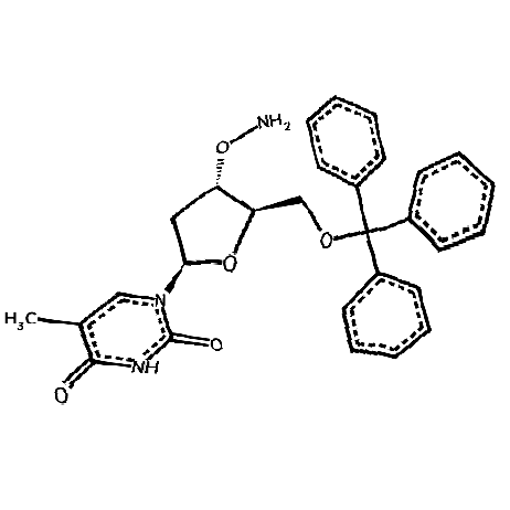 Cc1cn([C@H]2C[C@H](ON)[C@@H](COC(c3ccccc3)(c3ccccc3)c3ccccc3)O2)c(=O)[nH]c1=O